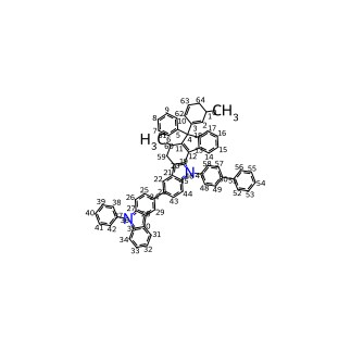 CC1C=C(C2(c3ccccc3)C3=C(c4ccccc42)c2c(c4cc(-c5ccc6c(c5)c5ccccc5n6-c5ccccc5)ccc4n2-c2ccc(-c4ccccc4)cc2)CC3C)C=CC1